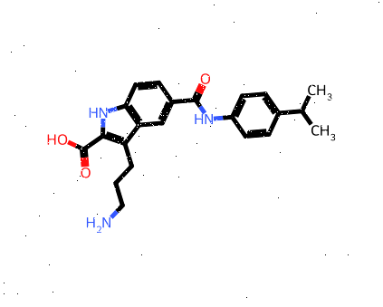 CC(C)c1ccc(NC(=O)c2ccc3[nH]c(C(=O)O)c(CCCN)c3c2)cc1